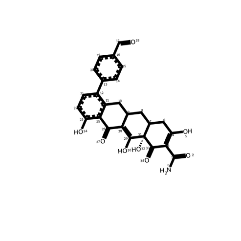 NC(=O)C1=C(O)CC2CC3Cc4c(-c5ccc(C=O)cc5)ccc(O)c4C(=O)C3=C(O)[C@]2(O)C1=O